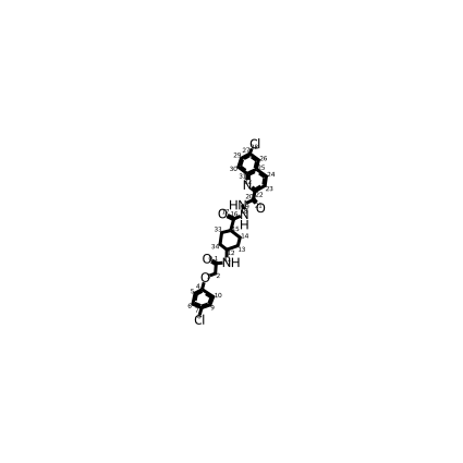 O=C(COc1ccc(Cl)cc1)NC1CCC(C(=O)NNC(=O)c2ccc3cc(Cl)ccc3n2)CC1